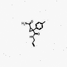 C=CCNC(=O)C1(c2ccc(C)cc2)CC1C(N)=O